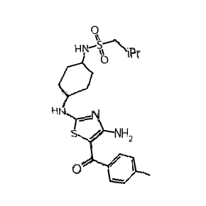 Cc1ccc(C(=O)c2sc(NC3CCC(NS(=O)(=O)CC(C)C)CC3)nc2N)cc1